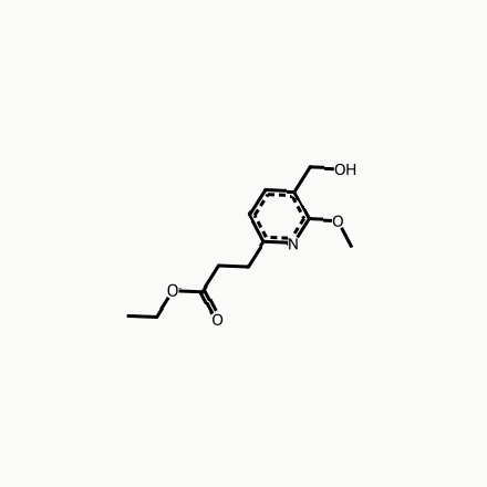 CCOC(=O)CCc1ccc(CO)c(OC)n1